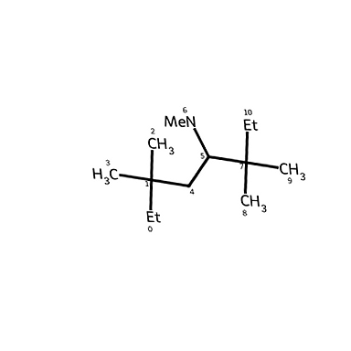 CCC(C)(C)CC(NC)C(C)(C)CC